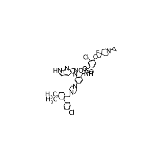 CC1(C)CCC(CN2CCN(c3ccc(C(=O)NS(=O)(=O)c4ccc(OCC5(F)CCN(C6CC6)CC5)c(Cl)c4)c(-n4ncc5nc6[nH]ccc6cc54)c3)CC2)=C(c2ccc(Cl)cc2)C1